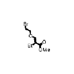 CC/C(=C\OCCBr)C(=O)OC